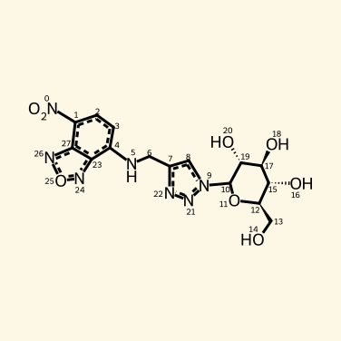 O=[N+]([O-])c1ccc(NCc2cn(C3O[C@H](CO)[C@@H](O)[C@H](O)[C@H]3O)nn2)c2nonc12